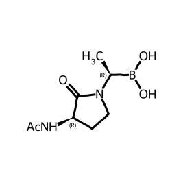 CC(=O)N[C@@H]1CCN([C@@H](C)B(O)O)C1=O